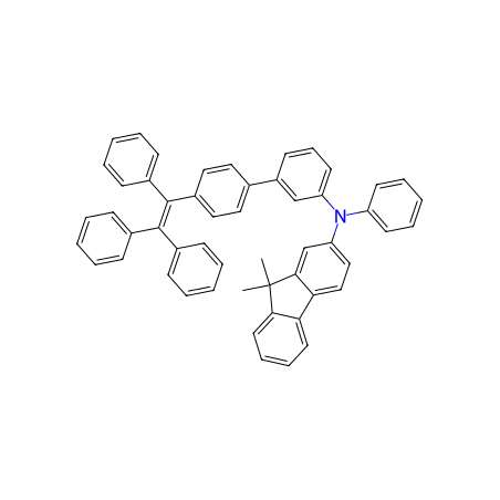 CC1(C)c2ccccc2-c2ccc(N(c3ccccc3)c3cccc(-c4ccc(C(=C(c5ccccc5)c5ccccc5)c5ccccc5)cc4)c3)cc21